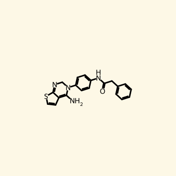 NC1=c2ccsc2=NCN1c1ccc(NC(=O)Cc2ccccc2)cc1